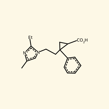 CCc1nc(C)cn1CCC1(c2ccccc2)CC1C(=O)O